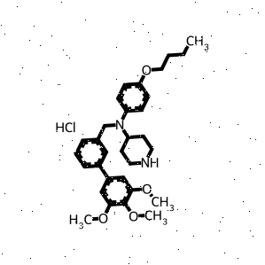 CCCCOc1ccc(N(Cc2cccc(-c3cc(OC)c(OC)c(OC)c3)c2)C2CCNCC2)cc1.Cl